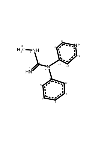 CNC(=N)N(c1ccccc1)c1ccncc1